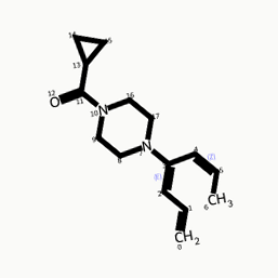 C=C/C=C(\C=C/C)N1CCN(C(=O)C2CC2)CC1